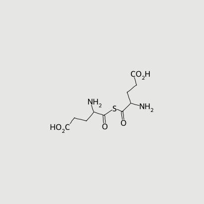 NC(CCC(=O)O)C(=O)SC(=O)C(N)CCC(=O)O